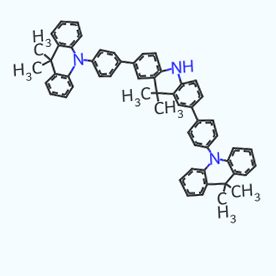 CC1(C)c2cc(-c3ccc(N4c5ccccc5C(C)(C)c5ccccc54)cc3)ccc2Nc2ccc(-c3ccc(N4c5ccccc5C(C)(C)c5ccccc54)cc3)cc21